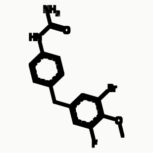 COc1c(F)cc(Cc2ccc(NC(N)=O)cc2)cc1Br